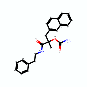 CC(Cc1ccc2ccccc2c1)(OC(N)=O)C(=O)NCCc1ccccc1